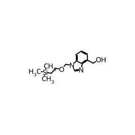 C[Si](C)(C)CCOCn1cnc2c(CO)cccc21